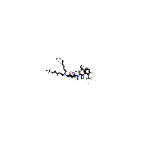 CCCCCCN(CCCCCC)Cc1cc(NC(=O)Nc2c(C(C)C)cccc2C(C)C)no1